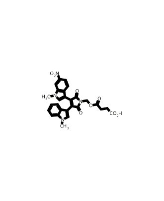 Cn1cc(C2=C(c3cn(C)c4cc([N+](=O)[O-])ccc34)C(=O)N(COC(=O)CCC(=O)O)C2=O)c2ccccc21